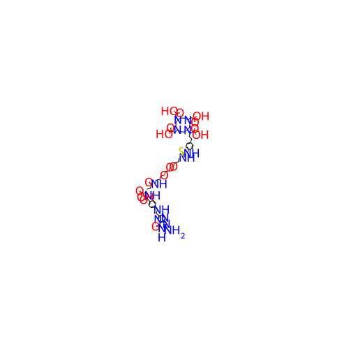 Nc1nc2ncc(CNc3ccc(C(=O)N[C@@H](CCC(=O)NCCCOCCOOCCCNC(=S)Nc4ccc(CCC(C(=O)O)N5CCN(CC(=O)O)CCN(CC(=O)O)CCN(CC(=O)O)CC5)cc4)C(=O)O)cc3)nc2c(=O)[nH]1